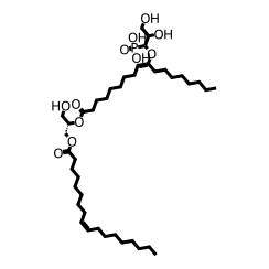 CCCCCCCC/C=C\CCCCCCCC(=O)OC[C@H](CO)OC(=O)CCCCCCC/C=C(\CCCCCCCC)OC(C(O)CO)P(=O)(O)O